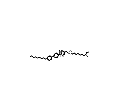 CCCCCCCCCc1ccc(-c2ccc(-c3ncc(CCOCCCCCCC[C@H](C)CC)cn3)cc2)cc1